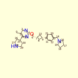 Cc1cnc(OC[C@H]2C[C@@H](c3ccc(CN4CCCC4)cc3)C2)nc1C1CCNCC1